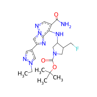 CCn1cc(-c2cn3ncc(C(N)=O)c(NC4CN(C(=O)OC(C)(C)C)CC4CF)c3n2)cn1